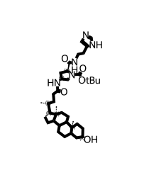 C[C@H](CCC(=O)N[C@H]1C[C@@H](C(=O)NCCc2cnc[nH]2)N(C(=O)OC(C)(C)C)C1)[C@H]1CCC2C3CCC4C[C@H](O)CC[C@]4(C)C3CC[C@@]21C